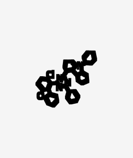 Clc1ccc2oc3ccccc3c2c1-c1nc(-c2ccccc2)nc(-c2cccc3c2c2ccccc2n3-c2ccccc2)n1